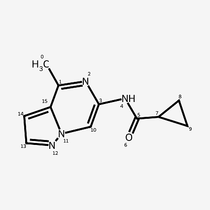 Cc1nc(NC(=O)C2CC2)cn2nccc12